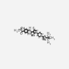 CN(C)C(=O)c1ccc(Nc2ncnc3c2c(F)cn3C2CCN(c3nc(C(C)(C)C)no3)CC2)c(F)c1